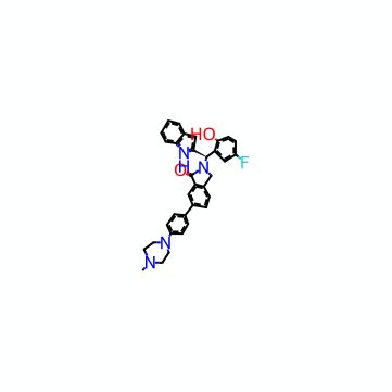 CN1CCN(c2ccc(-c3ccc4c(c3)C(=O)N([C@@H](c3cc5ccccc5[nH]3)c3cc(F)ccc3O)C4)cc2)CC1